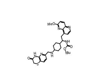 COc1ccc2nccc(CC(NC(=O)OC(C)(C)C)C3CCC(NCc4ccc5c(n4)NC(=O)CS5)CC3)c2n1